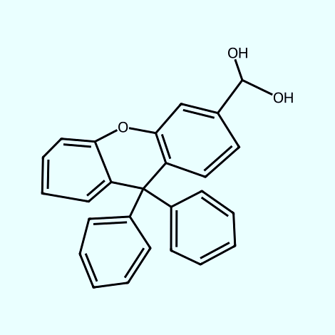 OC(O)c1ccc2c(c1)Oc1ccccc1C2(c1ccccc1)c1ccccc1